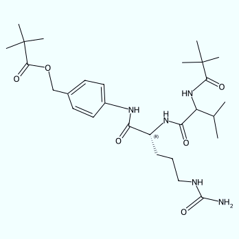 CC(C)C(NC(=O)C(C)(C)C)C(=O)N[C@H](CCCNC(N)=O)C(=O)Nc1ccc(COC(=O)C(C)(C)C)cc1